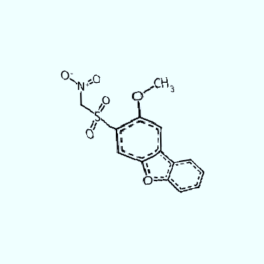 COc1cc2c(cc1S(=O)(=O)C[N+](=O)[O-])oc1ccccc12